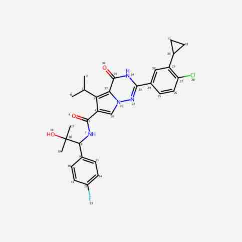 CC(C)c1c(C(=O)NC(c2ccc(F)cc2)C(C)(C)O)cn2nc(-c3ccc(Cl)c(C4CC4)c3)[nH]c(=O)c12